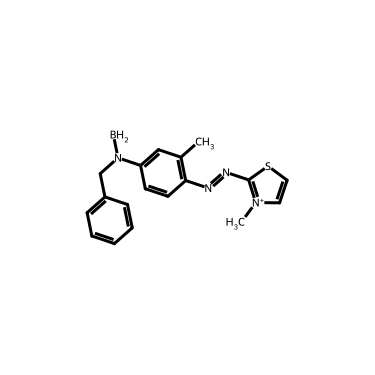 BN(Cc1ccccc1)c1ccc(/N=N/c2scc[n+]2C)c(C)c1